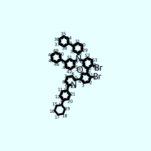 Brc1ccc(-c2cccc(-c3ccc(C4CCCCC4)cc3)n2)c2oc3c(N(c4cccc(-c5ccccc5)c4)c4cccc(-c5ccccc5)c4)ccc(Br)c3c12